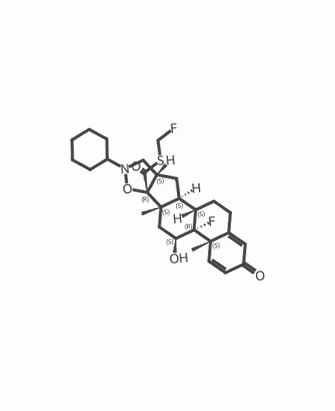 C[C@]12C=CC(=O)C=C1CC[C@H]1[C@@H]3C[C@H]4CN(C5CCCCC5)O[C@@]4(C(=O)SCF)[C@@]3(C)C[C@H](O)[C@@]12F